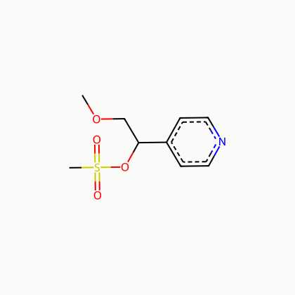 COCC(OS(C)(=O)=O)c1ccncc1